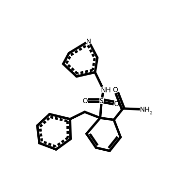 NC(=O)C1C=CC=CC1(Cc1ccccc1)S(=O)(=O)Nc1cccnc1